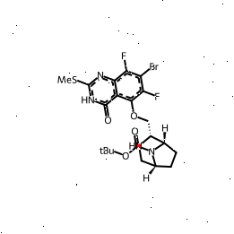 CSc1nc2c(F)c(Br)c(F)c(OC[C@H]3NC[C@H]4CC[C@@H]3N4C(=O)OC(C)(C)C)c2c(=O)[nH]1